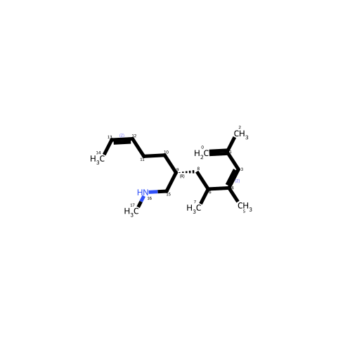 C=C(C)/C=C(/C)C(C)C[C@@H](CC/C=C\C)CNC